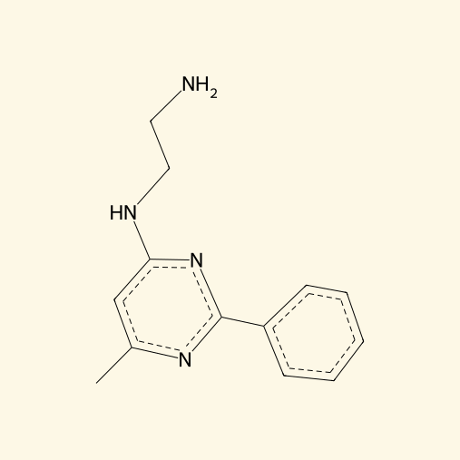 Cc1cc(NCCN)nc(-c2ccccc2)n1